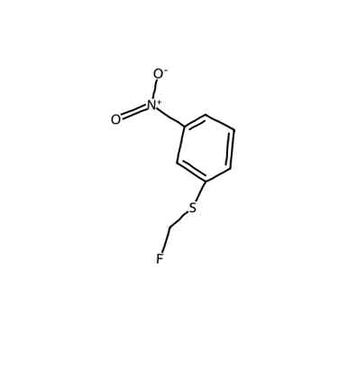 O=[N+]([O-])c1cccc(SCF)c1